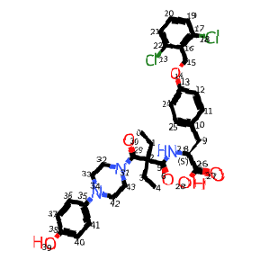 CCC(CC)(C(=O)N[C@@H](Cc1ccc(OCc2c(Cl)cccc2Cl)cc1)C(=O)O)C(=O)N1CCN(c2ccc(O)cc2)CC1